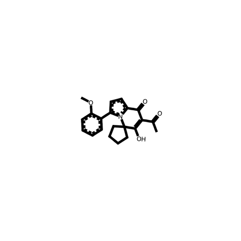 COc1ccccc1-c1ccc2n1C1(CCCC1)C(O)=C(C(C)=O)C2=O